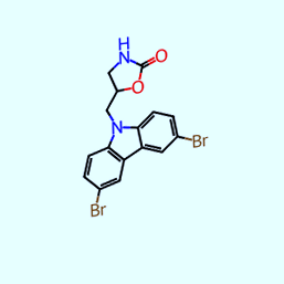 O=C1NCC(Cn2c3ccc(Br)cc3c3cc(Br)ccc32)O1